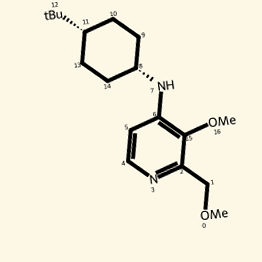 COCc1nccc(N[C@H]2CC[C@@H](C(C)(C)C)CC2)c1OC